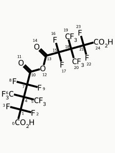 O=C(O)C(F)(F)C(C(F)(F)F)(C(F)(F)F)C(F)(F)C(=O)OC(=O)C(F)(F)C(C(F)(F)F)(C(F)(F)F)C(F)(F)C(=O)O